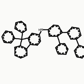 c1ccc(-c2cccc(-c3ccc(Nc4ccc5c(c4)C(c4ccccc4)(c4ccccc4)c4ccccc4-5)cc3-c3ccccc3)c2)cc1